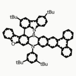 CC(C)(C)c1cc(N2c3cc4cc5c6ccccc6c6ccccc6c5cc4cc3B3c4c2cc2oc5ccccc5c2c4-c2cc(C(C)(C)C)cc4c5cc(C(C)(C)C)ccc5n3c24)cc(C(C)(C)C)c1